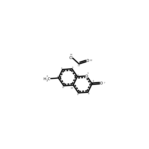 Cc1ccc2oc(=O)ccc2c1.O=CCl